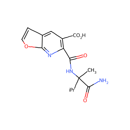 CC(C)C(C)(NC(=O)c1nc2occc2cc1C(=O)O)C(N)=O